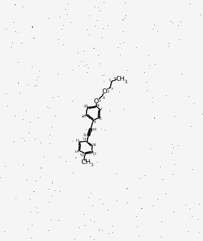 CCCOCOc1ccc(C#Cc2ccc(C)cc2)cc1